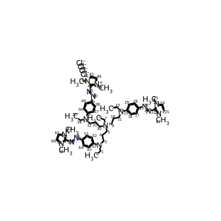 CCN(CCC[N+](CC)(CCCN(CC)c1ccc(/N=N/c2n(C)cc[n+]2C)cc1)CCCN(CC)c1ccc(/N=N/c2n(C)cc[n+]2C)cc1)c1ccc(/N=N/c2n(C)cc[n+]2C)cc1.[Cl-].[Cl-].[Cl-].[Cl-]